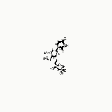 COC[C@@H](O[C@H](CCS(=O)(=O)CP(=O)(O)O)COC(C)C)n1ccc(=O)[nH]c1=O